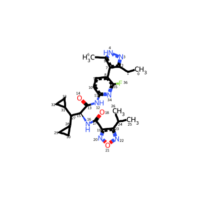 CCc1n[nH]c(C)c1-c1ccc(NC(=O)[C@@H](NC(=O)c2nonc2C(C)C)C(C2CC2)C2CC2)nc1F